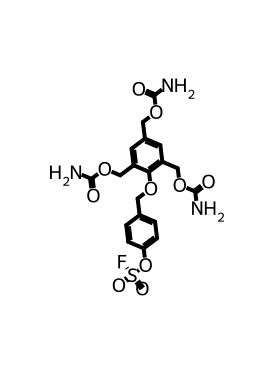 NC(=O)OCc1cc(COC(N)=O)c(OCc2ccc(OS(=O)(=O)F)cc2)c(COC(N)=O)c1